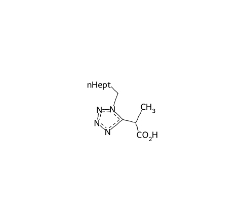 CCCCCCCCn1nnnc1C(C)C(=O)O